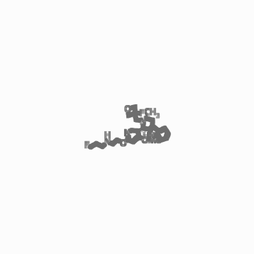 COC1=CC(OCCNCCCF)=NCC1[C@@H]1c2[nH]c3ccccc3c2C[C@@H](C)N1CC1(F)COC1